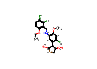 CCOc1ccc(F)c(F)c1CNc1cc(C2C(O)CSC2O)c(F)cc1OC